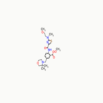 COCCN(C)c1nc(C(=O)Nc2ccc(CN3CCOCC3(C)C)cc2C(=O)OOC)cs1